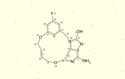 Nc1nc2cc3c1nc(O)n3Cc1cc(F)cc(c1)OC/C=C/CO2